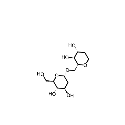 OC[C@H]1O[C@H](OC[C@H]2OCC[C@@H](O)[C@@H]2O)C[C@@H](O)[C@@H]1O